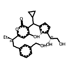 CC[C@H](Cc1cccc(CO)c1)c1cc(O)c(C(c2ccc([C@@H](O)CO)s2)C2CC2)c(=O)o1